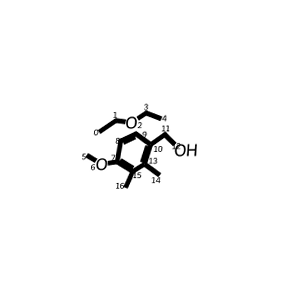 CCOCC.COc1ccc(CO)c(C)c1C